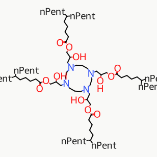 CCCCCC(CCCCC)CCCCC(=O)OCC(O)CN1CCCN(CC(O)COC(=O)CCCCC(CCCCC)CCCCC)CCN(CC(O)COC(=O)CCCCC(CCCCC)CCCCC)CCCN(CC(O)COC(=O)CCCCC(CCCCC)CCCCC)CC1